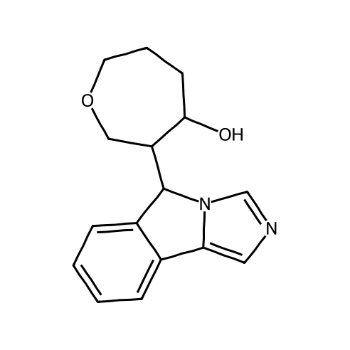 OC1CCCOCC1C1c2ccccc2-c2cncn21